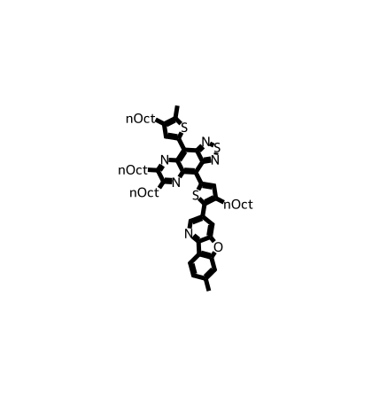 CCCCCCCCc1cc(-c2c3nsnc3c(-c3cc(CCCCCCCC)c(-c4cnc5c(c4)oc4cc(C)ccc45)s3)c3nc(CCCCCCCC)c(CCCCCCCC)nc23)sc1C